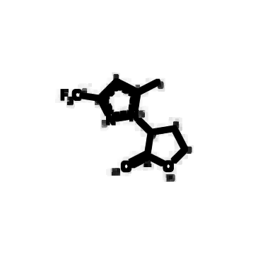 Cc1cc(C(F)(F)F)nn1C1CCOC1=O